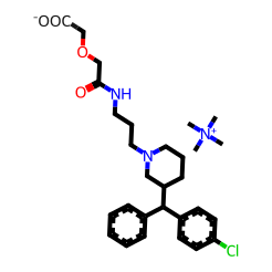 C[N+](C)(C)C.O=C([O-])COCC(=O)NCCCN1CCCC(C(c2ccccc2)c2ccc(Cl)cc2)C1